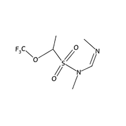 C/N=C\N(C)S(=O)(=O)C(C)OC(F)(F)F